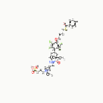 CCC(CC(C)(C)C(=O)NCCC[N+](C)(C)CCCS(=O)(=O)[O-])c1c(F)c(F)c(OCCCCSC(=O)c2ccccc2)c(F)c1F